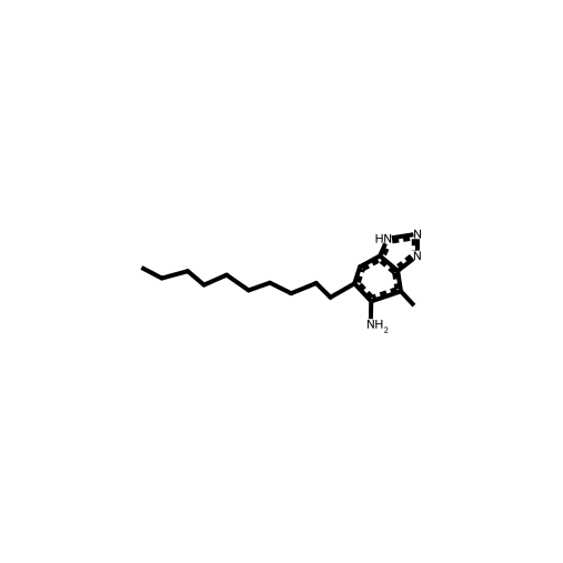 CCCCCCCCCCc1cc2[nH]nnc2c(C)c1N